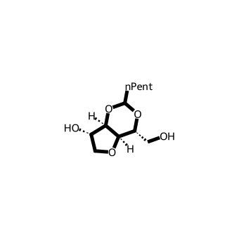 CCCCCC1O[C@H]2[C@H](OC[C@@H]2O)[C@@H](CO)O1